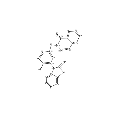 O=C1Cc2ccccc2N1c1cc(Cn2ncc3ccccc3c2=O)ccc1F